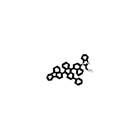 CCc1nc2ccccc2n1-c1ccc(-c2c3ccccc3c(-c3ccc4c5c(cccc35)-c3ccccc3-4)c3ccc(-c4ccccc4)cc23)c2ccccc12